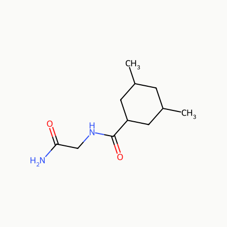 CC1CC(C)CC(C(=O)NCC(N)=O)C1